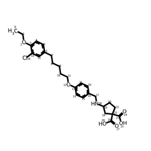 CCOc1ccc(CCCCCOc2ccc(CNC3CCC(C(=O)O)(C(=O)O)C3)cc2)cc1Cl